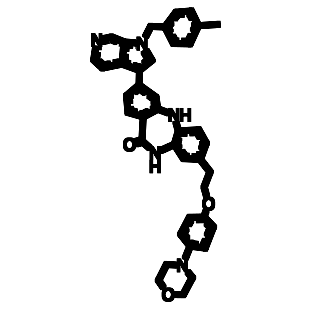 Cc1ccc(Cn2cc(-c3ccc4c(c3)Nc3ccc(CCOc5ccc(N6CCOCC6)cc5)cc3NC4=O)c3ccncc32)cc1